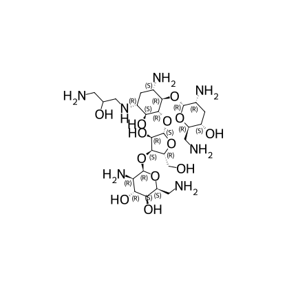 NCC(O)CN[C@@H]1C[C@H](N)[C@@H](O[C@H]2O[C@H](CN)[C@@H](O)C[C@H]2N)[C@H](O[C@@H]2O[C@H](CO)[C@@H](O[C@H]3O[C@@H](CN)[C@@H](O)[C@H](O)[C@H]3N)[C@H]2O)[C@H]1O